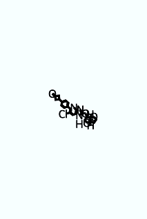 O=C1CC(c2ccc(-c3nc4nc(OC5CO[C@@H]6CCO[C@H]56)[nH]c4cc3Cl)cc2)C1